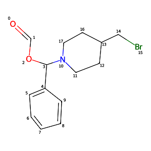 O=COC(c1ccccc1)N1CCC(CBr)CC1